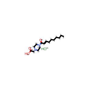 CCCCCCC/C=C/C(=O)N1CCN(CC(=O)O)CC1.Cl